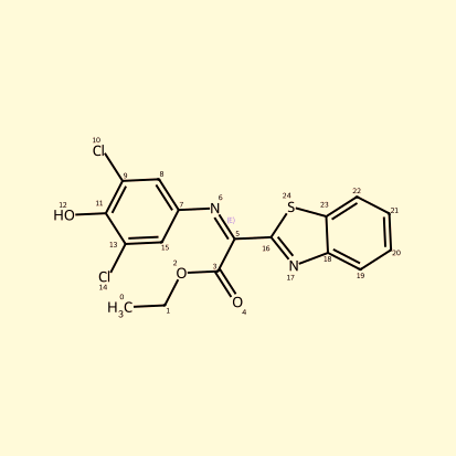 CCOC(=O)/C(=N\c1cc(Cl)c(O)c(Cl)c1)c1nc2ccccc2s1